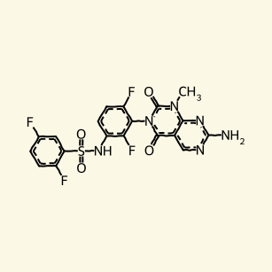 Cn1c(=O)n(-c2c(F)ccc(NS(=O)(=O)c3cc(F)ccc3F)c2F)c(=O)c2cnc(N)nc21